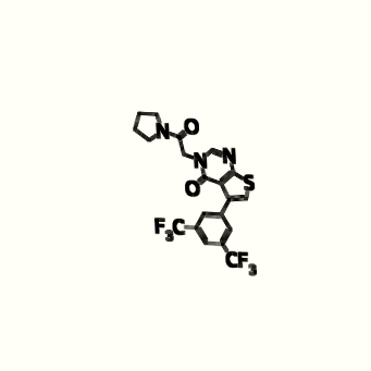 O=C(Cn1cnc2scc(-c3cc(C(F)(F)F)cc(C(F)(F)F)c3)c2c1=O)N1CCCC1